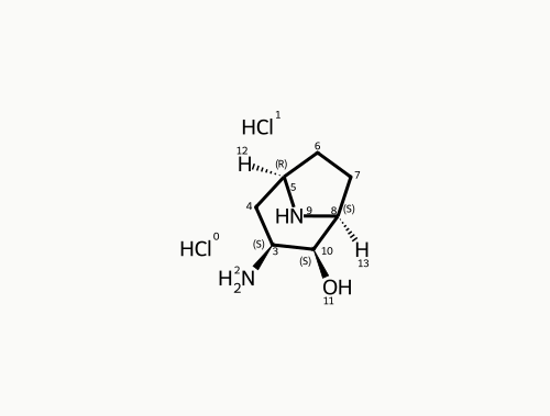 Cl.Cl.N[C@H]1C[C@H]2CC[C@H](N2)[C@H]1O